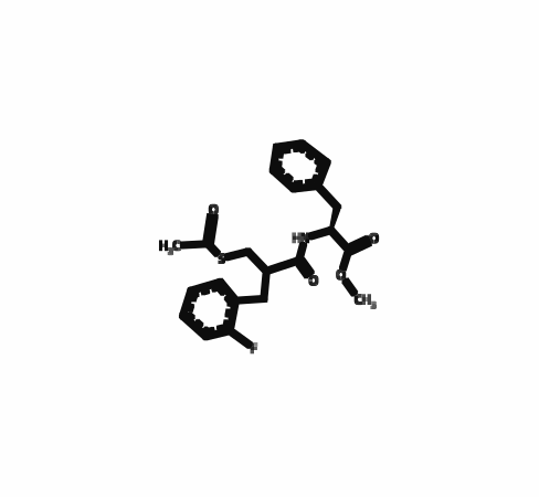 COC(=O)[C@H](Cc1ccccc1)NC(=O)C(CSC(C)=O)Cc1ccccc1F